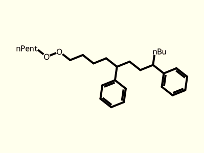 CCCCCOOCCCCC(CCC(CCCC)c1ccccc1)c1ccccc1